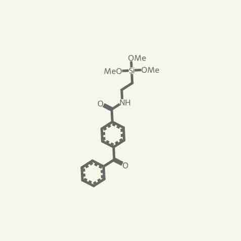 CO[Si](CCNC(=O)c1ccc(C(=O)c2ccccc2)cc1)(OC)OC